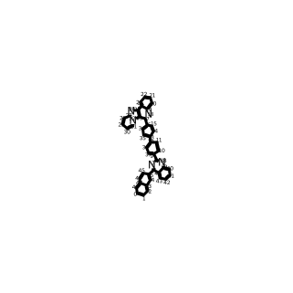 c1ccc2cc(-c3nc(-c4ccc(-c5ccc(-c6nc7ccccc7c7nc8ccccn8c67)cc5)cc4)nc4ccccc34)ccc2c1